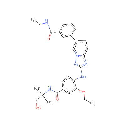 CC(C)(CO)NC(=O)c1ccc(Nc2nc3ccc(-c4cccc(C(=O)NCC(F)(F)F)c4)cn3n2)c(OCC(F)(F)F)c1